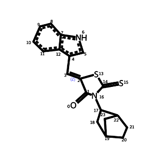 O=C1/C(=C/c2c[nH]c3ccccc23)SC(=S)N1C1CC2CCC1C2